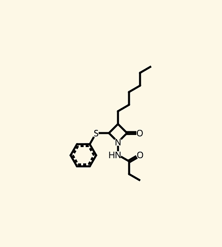 CCCCCCC1C(=O)N(NC(=O)CC)C1Sc1ccccc1